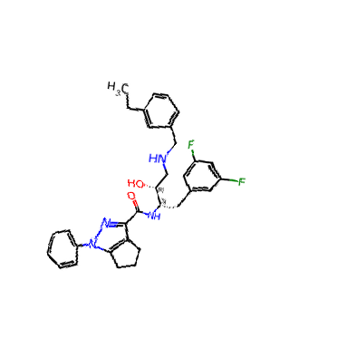 CCc1cccc(CNC[C@@H](O)[C@H](Cc2cc(F)cc(F)c2)NC(=O)c2nn(-c3ccccc3)c3c2CCC3)c1